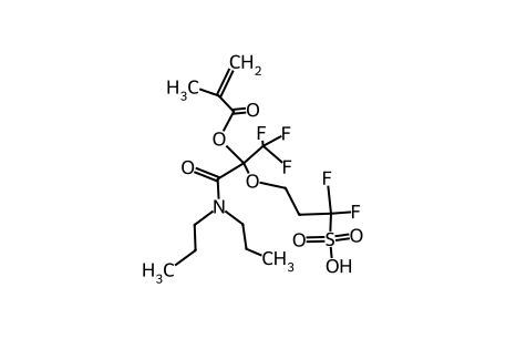 C=C(C)C(=O)OC(OCCC(F)(F)S(=O)(=O)O)(C(=O)N(CCC)CCC)C(F)(F)F